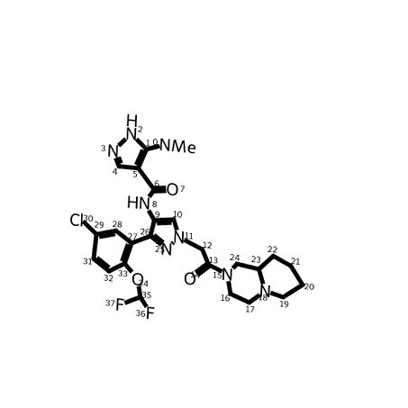 CNc1[nH]ncc1C(=O)Nc1cn(CC(=O)N2CCN3CCCCC3C2)nc1-c1cc(Cl)ccc1OC(F)F